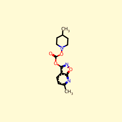 Cc1ccc2c(OC(=O)ON3CCC(C)CC3)noc2n1